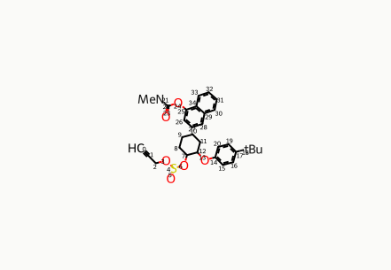 C#CCOS(=O)OC1CCCCC1Oc1ccc(C(C)(C)C)cc1.CNC(=O)Oc1cccc2ccccc12